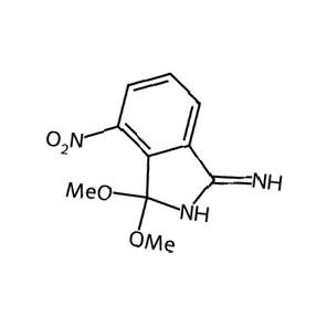 COC1(OC)NC(=N)c2cccc([N+](=O)[O-])c21